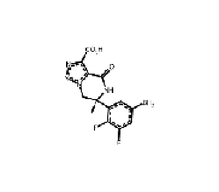 Bc1cc(F)c(F)c([C@]2(C)Cn3nnc(C(=O)O)c3C(=O)N2)c1